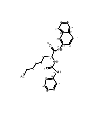 CC(=O)CCCCC[C@H](NC(=S)Nc1ccccc1)C(=O)Nc1cnc2ccccc2c1